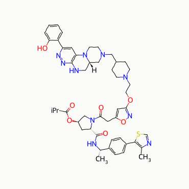 Cc1ncsc1-c1ccc([C@H](C)NC(=O)[C@@H]2C[C@@H](OC(=O)C(C)C)CN2C(=O)Cc2cc(OCCN3CCC(CN4CCN5c6cc(-c7ccccc7O)nnc6NC[C@H]5C4)CC3)no2)cc1